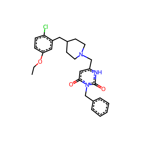 CCOc1ccc(Cl)c(CC2CCN(Cc3cc(=O)n(Cc4ccccc4)c(=O)[nH]3)CC2)c1